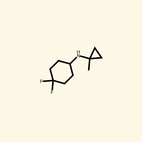 CC1(NC2CCC(F)(F)CC2)CC1